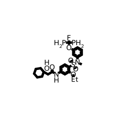 CCOc1cc(NC(=O)CC2(O)CCCCC2)ccc1S(=O)(=O)N(C)c1cccc(OC(F)(P)P)c1